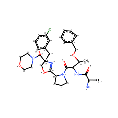 CC(N)C(=O)NC(C(=O)N1CCCC1C1=N[C@@](Cc2cccc(Cl)c2)(C(=O)N2CCOCC2)CO1)C(C)OCc1ccccc1